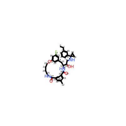 CCc1cccc(C2(NCC(O)C3Cc4cc(F)cc(c4)OCCCCNC(=O)c4cc(C)cc(c4)C(=O)N3)CC2)c1